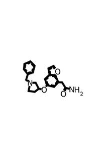 NC(=O)Cc1cc(OC2CCN(Cc3ccccc3)C2)cc2ccoc12